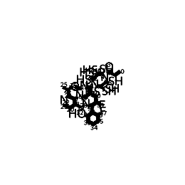 C=CC(=O)N1C(S)(S)C(S)(S)N(c2nc(=O)n(-c3c(C)ccnc3C(C)C)c3nc(-c4c(O)cccc4F)c(F)cc23)C(S)(S)C1(S)S